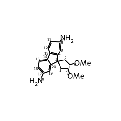 COCCC1(CCOC)c2cc(N)ccc2-c2ccc(N)cc21